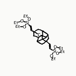 CCO[Si](/C=C/C12CC3C4CC5(/C=C/[Si](OCC)(OCC)OCC)CC3C(C1)C(C5)C4C2)(OCC)OCC